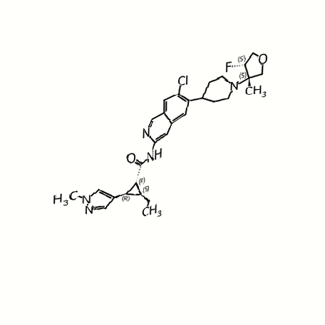 CC[C@@H]1[C@@H](C(=O)Nc2cc3cc(C4CCN([C@@]5(C)COC[C@H]5F)CC4)c(Cl)cc3cn2)[C@@H]1c1cnn(C)c1